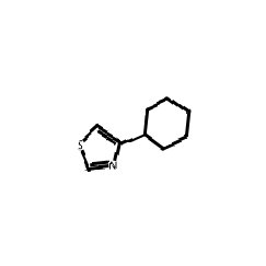 [c]1nc(C2CCCCC2)cs1